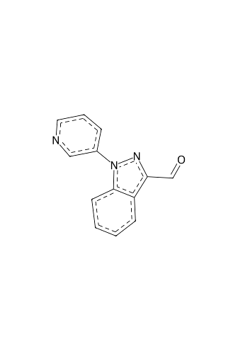 O=Cc1nn(-c2cccnc2)c2ccccc12